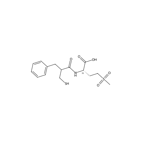 CS(=O)(=O)CC[C@H](NC(=O)C(CS)Cc1ccccc1)C(=O)O